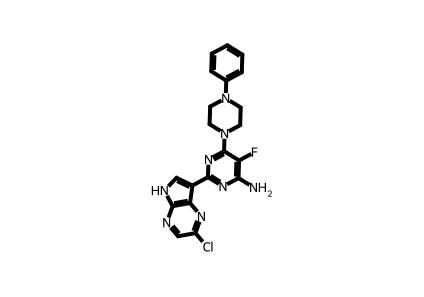 Nc1nc(-c2c[nH]c3ncc(Cl)nc23)nc(N2CCN(c3ccccc3)CC2)c1F